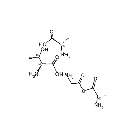 C[C@@H](O)[C@H](N)C(=O)O.C[C@H](N)C(=O)O.C[C@H](N)C(=O)OC(=O)CN